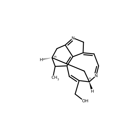 CC1C2=C3C4=CC=N[C@@H](C[C@@H]1CC3=NC4)C(CO)=C2